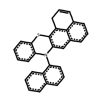 C1=Cc2cccc3cc4c(c(c23)C1)Sc1ccccc1N4c1cccc2ccccc12